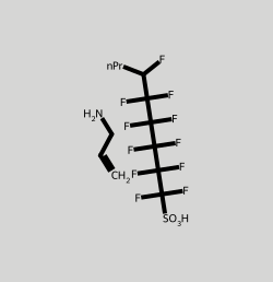 C=CCN.CCCC(F)C(F)(F)C(F)(F)C(F)(F)C(F)(F)C(F)(F)S(=O)(=O)O